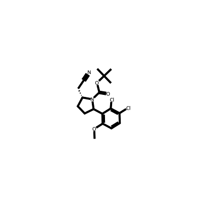 COc1ccc(Cl)c(Cl)c1C1CC[C@H](CC#N)N1C(=O)OC(C)(C)C